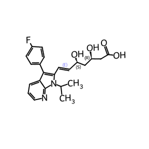 CC(C)n1c(/C=C/[C@@H](O)C[C@@H](O)CC(=O)O)c(-c2ccc(F)cc2)c2cccnc21